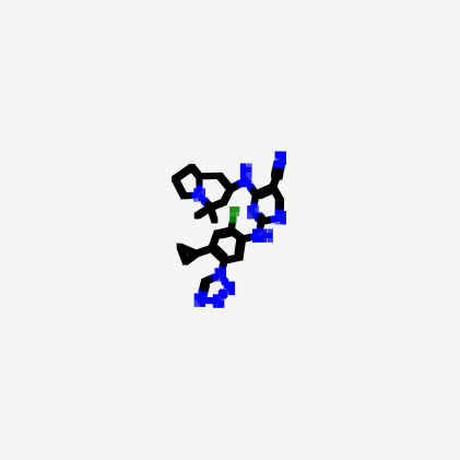 CC1(C)CC(Nc2nc(Nc3cc(-n4cnnn4)c(C4CC4)cc3F)ncc2C#N)CC2CCCN21